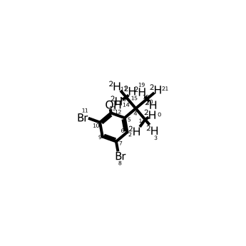 [2H]C([2H])([2H])C(c1cc(Br)cc(Br)c1O)(C([2H])([2H])[2H])C([2H])([2H])[2H]